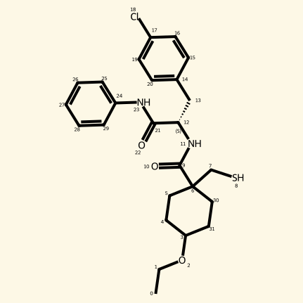 CCOC1CCC(CS)(C(=O)N[C@@H](Cc2ccc(Cl)cc2)C(=O)Nc2ccccc2)CC1